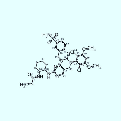 C=CC(=O)N[C@H]1CCCC[C@H]1Nc1ncc2c(n1)N(Cc1cccc(S(N)(=O)=O)c1)C(=O)N(c1c(Cl)c(OC)cc(OC)c1Cl)C2